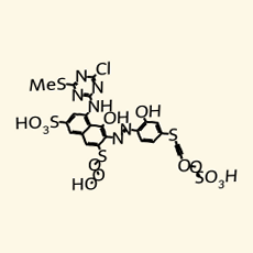 CSc1nc(Cl)nc(Nc2cc(S(=O)(=O)O)cc3cc(SOOO)c(N=Nc4ccc(SC#COOS(=O)(=O)O)cc4O)c(O)c23)n1